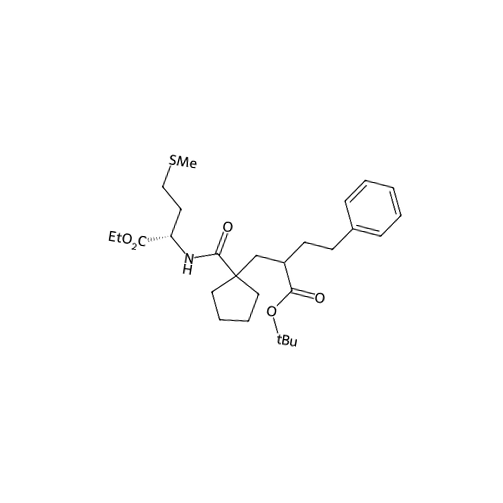 CCOC(=O)[C@H](CCSC)NC(=O)C1(CC(CCc2ccccc2)C(=O)OC(C)(C)C)CCCC1